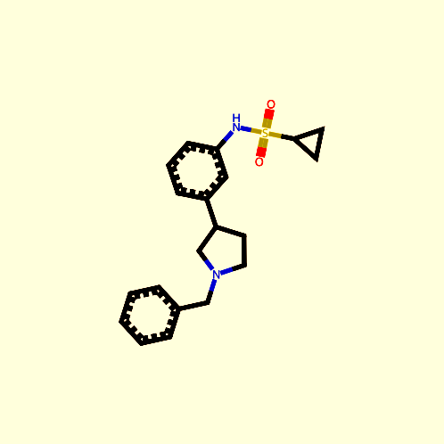 O=S(=O)(Nc1cccc(C2CCN(Cc3ccccc3)C2)c1)C1CC1